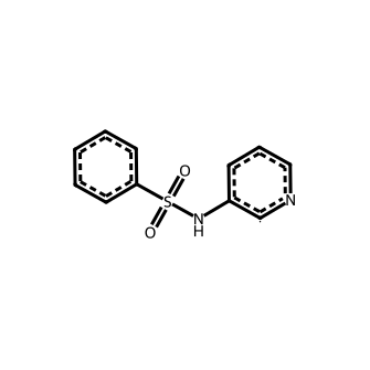 O=S(=O)(Nc1[c]nccc1)c1ccccc1